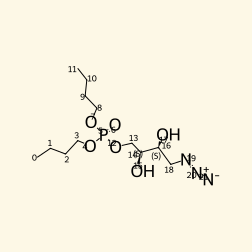 CCCCOP(=O)(OCCCC)OC[C@H](O)[C@@H](O)CN=[N+]=[N-]